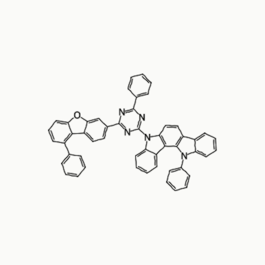 c1ccc(-c2nc(-c3ccc4c(c3)oc3cccc(-c5ccccc5)c34)nc(-n3c4ccccc4c4c3ccc3c5ccccc5n(-c5ccccc5)c34)n2)cc1